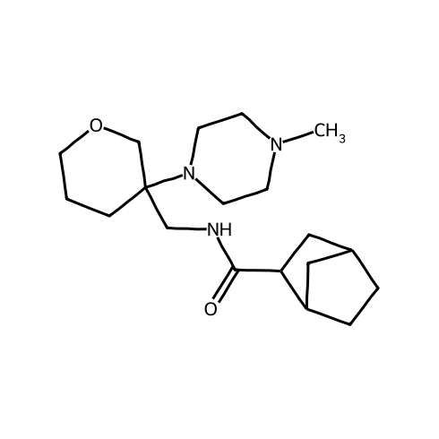 CN1CCN(C2(CNC(=O)C3CC4CCC3C4)CCCOC2)CC1